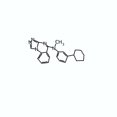 CN(c1cccc(C2CCCCC2)c1)c1nc2nncn2c2ccccc12